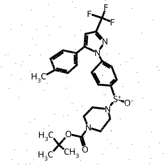 Cc1ccc(-c2cc(C(F)(F)F)nn2-c2ccc([S@@+]([O-])N3CCN(C(=O)OC(C)(C)C)CC3)cc2)cc1